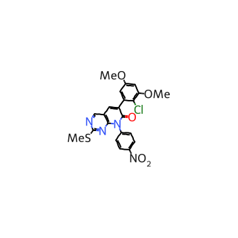 COc1cc(OC)c(Cl)c(-c2cc3cnc(SC)nc3n(-c3ccc([N+](=O)[O-])cc3)c2=O)c1